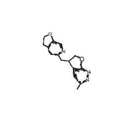 Cc1cc2c(nn1)OCC2Cc1cc2c(cn1)OCC2